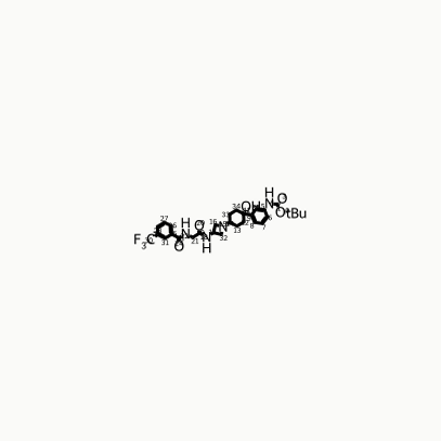 CC(C)(C)OC(=O)Nc1cccc(C2(O)CCC(N3CC(NC(=O)CNC(=O)c4cccc(C(F)(F)F)c4)C3)CC2)c1